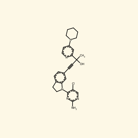 CC(O)(C#Cc1ccc2c(c1)N(c1nc(N)ncc1Cl)CC2)c1cc(N2CCCCC2)ccn1